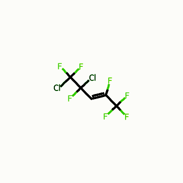 FC(=CC(F)(Cl)C(F)(F)Cl)C(F)(F)F